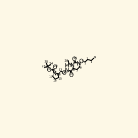 CCCCON1CC[C@@H](C(=O)NOC[C@H]2CCCN2C(=O)OC(C)(C)C)N(CC)C1=O